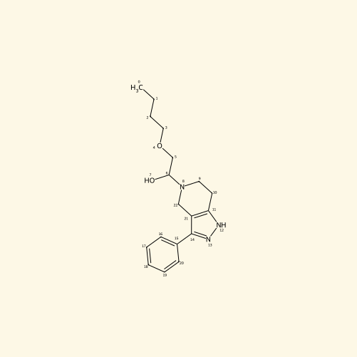 CCCCOCC(O)N1CCc2[nH]nc(-c3ccccc3)c2C1